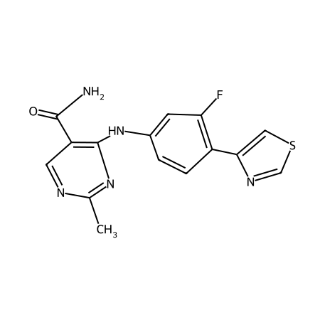 Cc1ncc(C(N)=O)c(Nc2ccc(-c3cscn3)c(F)c2)n1